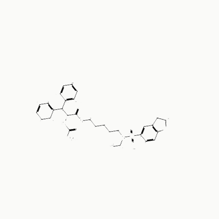 COC(=O)N[C@H](C(=O)NCCCCCN(CC(C)C)S(=O)(=O)c1ccc2c(c1)CCO2)C(C1=CC=CCC1)c1ccccc1